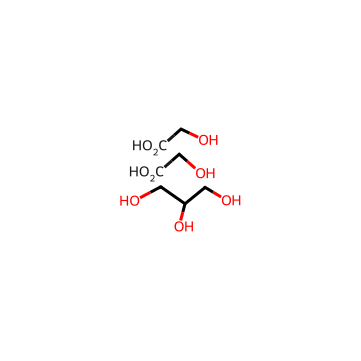 O=C(O)CO.O=C(O)CO.OCC(O)CO